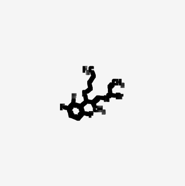 C=C/C(Br)=N\C=C(/C)C(SCCCC(F)(F)F)c1c(F)ccc(F)c1F